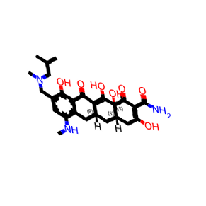 CNc1cc(CN(C)CC(C)C)c(O)c2c1C[C@H]1C[C@H]3CC(O)=C(C(N)=O)C(=O)[C@@]3(O)C(O)=C1C2=O